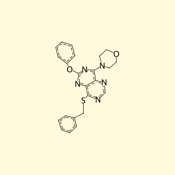 c1ccc(CSc2ncnc3c(N4CCOCC4)nc(Oc4ccccc4)nc23)cc1